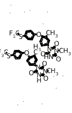 Cc1cc(-n2c(=O)[nH]c(=O)n(C)c2=O)ccc1Oc1ccc(SC(F)(F)F)cc1.Cc1cc(-n2c(=O)[nH]c(=O)n(C)c2=O)ccc1Oc1ccc(SC(F)(F)F)cc1